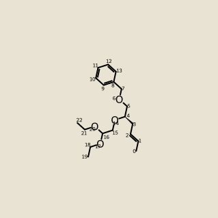 C/C=C/C[C@H](COCc1ccccc1)OCC(OCC)OCC